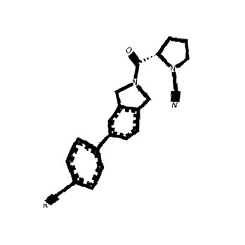 N#Cc1ccc(-c2ccc3c(c2)CN(C(=O)[C@@H]2CCCN2C#N)C3)cc1